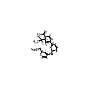 CSCc1cc(Nc2nccc(-c3ccc4c(c3)C(C)(C)CNC4=O)n2)ccn1